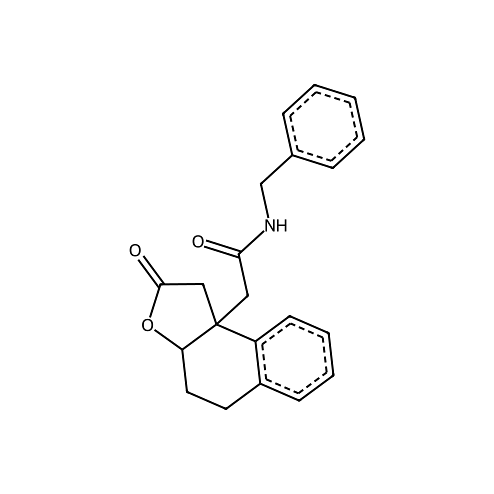 O=C(CC12CC(=O)OC1CCc1ccccc12)NCc1ccccc1